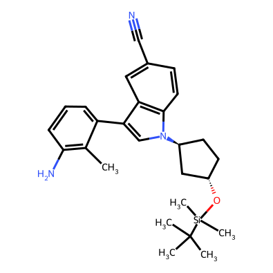 Cc1c(N)cccc1-c1cn([C@H]2CC[C@H](O[Si](C)(C)C(C)(C)C)C2)c2ccc(C#N)cc12